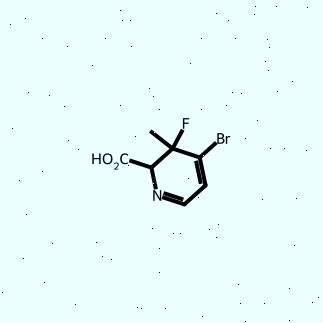 CC1(F)C(Br)=CC=NC1C(=O)O